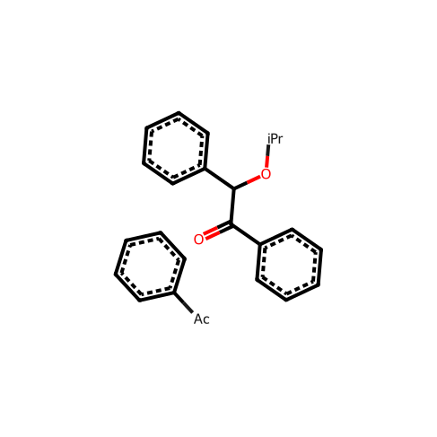 CC(=O)c1ccccc1.CC(C)OC(C(=O)c1ccccc1)c1ccccc1